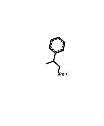 [CH2]CCCCCC(C)c1ccccc1